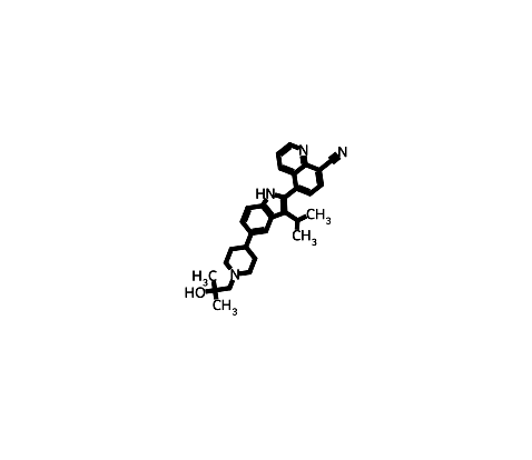 CC(C)c1c(-c2ccc(C#N)c3ncccc23)[nH]c2ccc(C3CCN(CC(C)(C)O)CC3)cc12